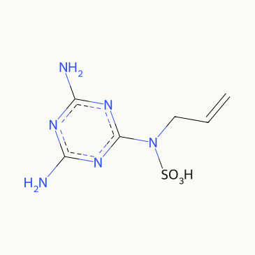 C=CCN(c1nc(N)nc(N)n1)S(=O)(=O)O